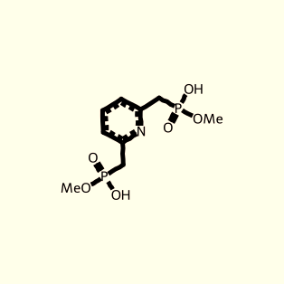 COP(=O)(O)Cc1cccc(CP(=O)(O)OC)n1